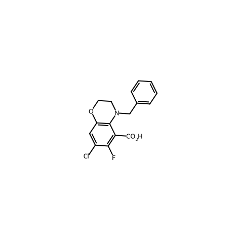 O=C(O)c1c(F)c(Cl)cc2c1N(Cc1ccccc1)CCO2